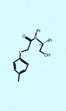 Cc1ccc(OCC(=O)N(C(C)C)[C@@H](CO)C(C)C)cc1